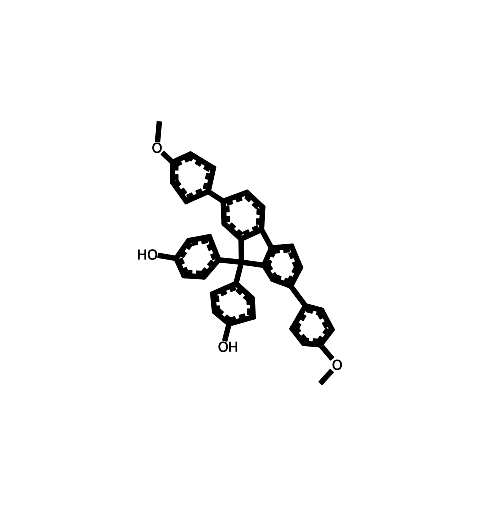 COc1ccc(-c2ccc3c(c2)C(c2ccc(O)cc2)(c2ccc(O)cc2)c2cc(-c4ccc(OC)cc4)ccc2-3)cc1